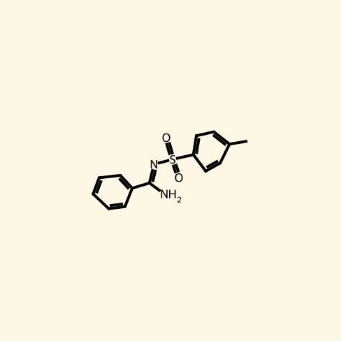 Cc1ccc(S(=O)(=O)N=C(N)c2ccccc2)cc1